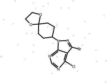 Clc1ncnc2c1c(Br)nn2C1CCC2(CC1)OCCO2